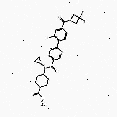 CC(C)(C)OC(=O)N1CCC(N(C(=O)c2cnc(-c3ccc(C(=O)N4CC(F)(F)C4)cc3F)nc2)C2CC2)CC1